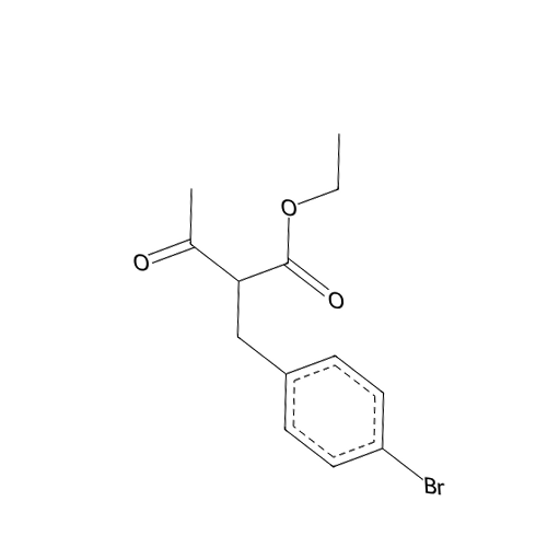 CCOC(=O)C(Cc1ccc(Br)cc1)C(C)=O